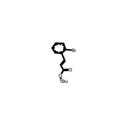 CC(C)(C)OC(=O)/C=C/c1ccccc1Br